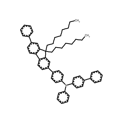 CCCCCCCCC1(CCCCCCCC)c2cc(-c3ccccc3)ccc2-c2ccc(-c3ccc(N(c4ccccc4)c4ccc(-c5ccccc5)cc4)cc3)cc21